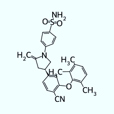 C=C1C[C@H](c2ccc(C#N)c(Oc3c(C)ccc(C)c3C)c2)CN1c1ccc(S(N)(=O)=O)cc1